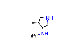 CC(C)N[C@H]1CNC[C@@H]1C